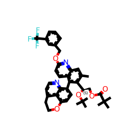 Cc1cc2nc(OCc3cccc(C(F)(F)F)c3)ccc2c(-c2ccc3c4c(ccnc24)CCO3)c1[C@@H](COC(=O)C(C)(C)C)OC(C)(C)C